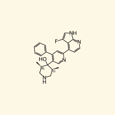 C[C@@H]1CNC[C@H](C)C1(O)c1cnc(-c2ccnc3[nH]cc(F)c23)cc1-c1ccccc1